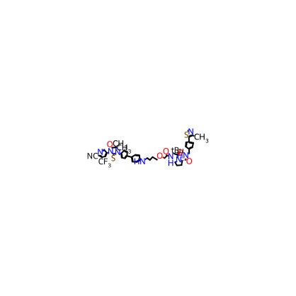 Cc1ncsc1-c1ccc(CNC(=O)[C@@H]2CCCN2C(=O)C(NC(=O)COCCCCNc2ccc(-c3ccc(N4C(=S)N(c5cnc(C#N)c(C(F)(F)F)c5)C(=O)C4(C)C)cc3)cc2)C(C)(C)C)cc1